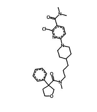 CN(C)C(=O)c1ccc(N2CCC(CCCN(C)C(=O)C3(c4ccccc4)CCOC3)CC2)nc1Cl